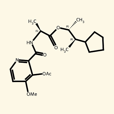 COc1ccnc(C(=O)N[C@@H](C)C(=O)O[C@H](C)[C@H](C)C2CCCC2)c1OC(C)=O